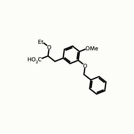 CCOC(Cc1ccc(OC)c(OCc2ccccc2)c1)C(=O)O